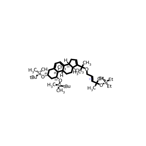 CC[Si](CC)(CC)OC(C)(C)/C=C/COC(C)(C)C1=CC[C@H]2C3=CC=C4C[C@@H](O[Si](C)(C)C(C)(C)C)C[C@H](O[Si](C)(C)C(C)(C)C)[C@]4(C)[C@H]3CC[C@]12C